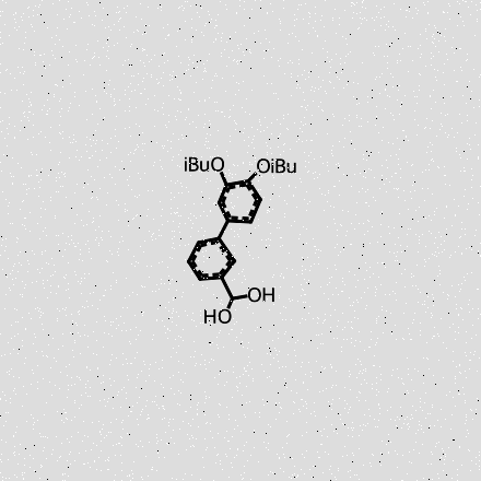 CC(C)COc1ccc(-c2cccc(C(O)O)c2)cc1OCC(C)C